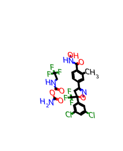 Cc1cc(C2=NOC(c3cc(Cl)cc(Cl)c3)(C(F)(F)F)C2)ccc1C(=O)NO.NC(=O)OC(=O)NCC(F)(F)F